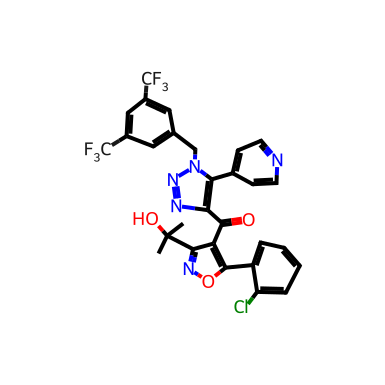 CC(C)(O)c1noc(-c2ccccc2Cl)c1C(=O)c1nnn(Cc2cc(C(F)(F)F)cc(C(F)(F)F)c2)c1-c1ccncc1